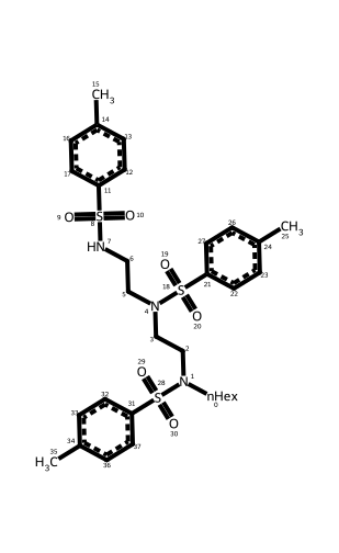 CCCCCCN(CCN(CCNS(=O)(=O)c1ccc(C)cc1)S(=O)(=O)c1ccc(C)cc1)S(=O)(=O)c1ccc(C)cc1